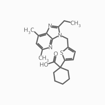 CCc1nc2c(C)cc(C)nc2n1Cc1ccc(C2(C(=O)O)CCCCC2)s1